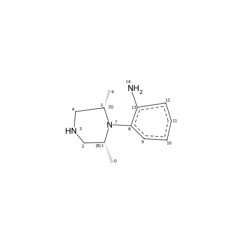 C[C@@H]1CNC[C@H](C)N1c1ccccc1N